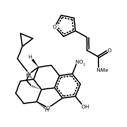 CNC(=O)/C=C/c1ccoc1.O=[N+]([O-])c1cc(O)c2c3c1C[C@@H]1[C@@H]4CCC[C@H](O2)[C@]34CCN1CC1CC1